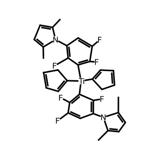 Cc1ccc(C)n1-c1cc(F)c(F)[c]([Ti]([C]2=CC=CC2)([C]2=CC=CC2)[c]2c(F)c(F)cc(-n3c(C)ccc3C)c2F)c1F